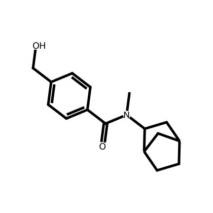 CN(C(=O)c1ccc(CO)cc1)C1CC2CCC1C2